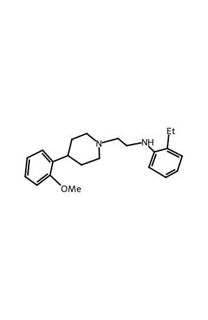 CCc1ccccc1NCCN1CCC(c2ccccc2OC)CC1